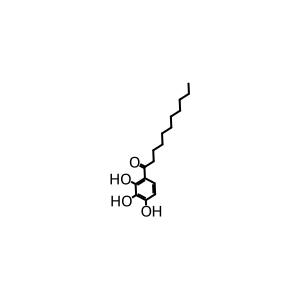 CCCCCCCCCCC(=O)c1ccc(O)c(O)c1O